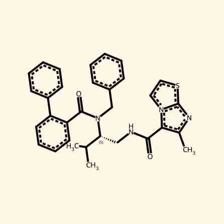 Cc1nc2sccn2c1C(=O)NC[C@H](C(C)C)N(Cc1ccccc1)C(=O)c1ccccc1-c1ccccc1